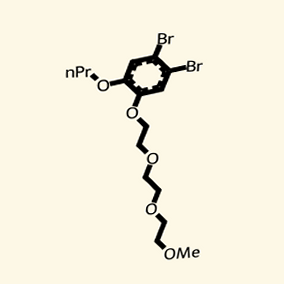 CCCOc1cc(Br)c(Br)cc1OCCOCCOCCOC